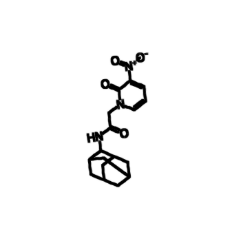 O=C(Cn1cccc([N+](=O)[O-])c1=O)NC1C2CC3CC(C2)CC1C3